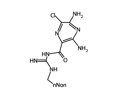 CCCCCCCCCCNC(=N)NC(=O)c1nc(Cl)c(N)nc1N